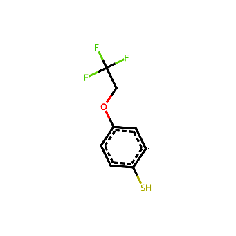 FC(F)(F)COc1c[c]c(S)cc1